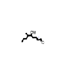 CCCC(C)C(O)C/C=C/C=O